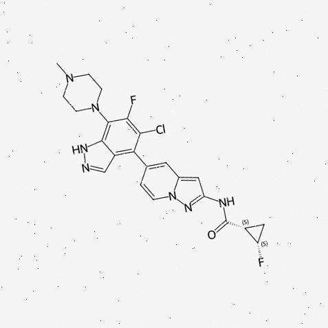 CN1CCN(c2c(F)c(Cl)c(-c3ccn4nc(NC(=O)[C@@H]5C[C@@H]5F)cc4c3)c3cn[nH]c23)CC1